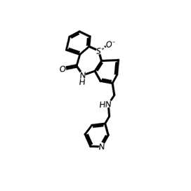 O=C1Nc2cc(CNCc3cccnc3)ccc2[S+]([O-])c2ccccc21